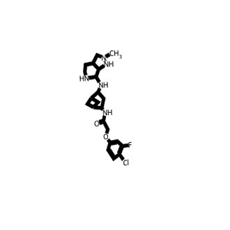 CN1CC2CCNC(NC3CC(NC(=O)COc4ccc(Cl)c(F)c4)C4CC3C4)C2N1